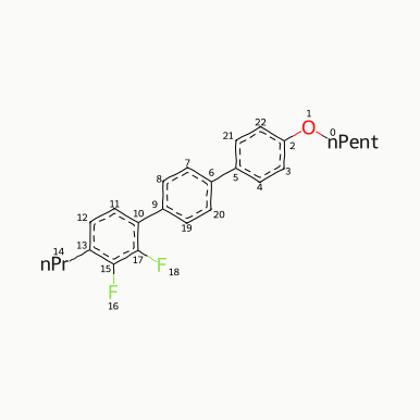 CCCCCOc1ccc(-c2ccc(-c3ccc(CCC)c(F)c3F)cc2)cc1